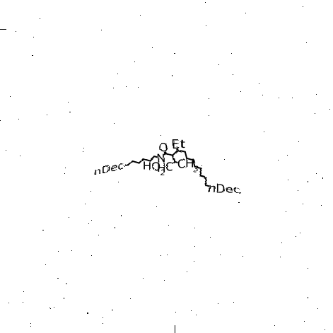 CCCCCCCCCCCCCCCCCCC(CC)C(C(=O)NCCCCCCCCCCCCCCCC)C(C)C(=O)O